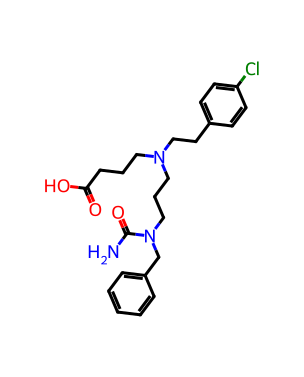 NC(=O)N(CCCN(CCCC(=O)O)CCc1ccc(Cl)cc1)Cc1ccccc1